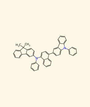 CC1(C)c2ccccc2-c2cc(N(c3ccccc3)c3ccc(-c4ccc5c(c4)c4ccccc4n5-c4ccccc4)c4ccccc34)ccc21